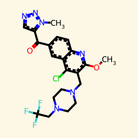 COc1nc2ccc(C(=O)c3cnnn3C)cc2c(Cl)c1CN1CCN(CC(F)(F)F)CC1